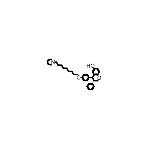 Oc1ccc2c(c1)C(c1ccc(OCCCCCCCCCN3CCCC3)cc1)[C@@H](c1ccccc1)CO2